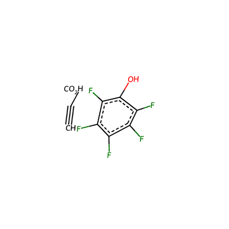 C#CC(=O)O.Oc1c(F)c(F)c(F)c(F)c1F